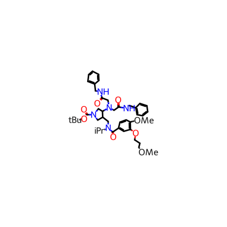 COCCCOc1cc(C(=O)N(CC2CN(C(=O)OC(C)(C)C)CC2N(CC(=O)NCc2ccccc2)CC(=O)NCc2ccccc2)C(C)C)ccc1OC